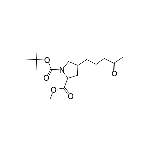 COC(=O)C1CC(CCCC(C)=O)CN1C(=O)OC(C)(C)C